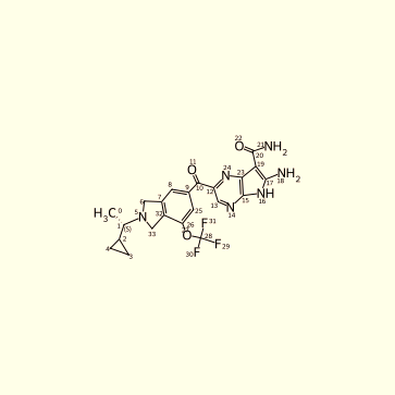 C[C@@H](C1CC1)N1Cc2cc(C(=O)c3cnc4[nH]c(N)c(C(N)=O)c4n3)cc(OC(F)(F)F)c2C1